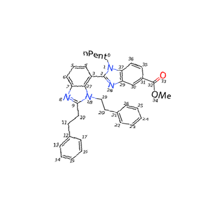 CCCCCn1c(-c2cccc3nc(CCc4ccccc4)n(CCc4ccccc4)c23)nc2cc(C(=O)OC)ccc21